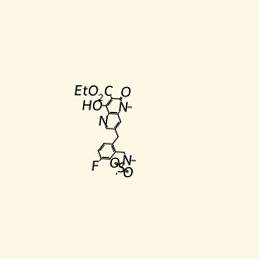 CCOC(=O)c1c(O)c2ncc(Cc3ccc(F)cc3CN(C)S(C)(=O)=O)cc2n(C)c1=O